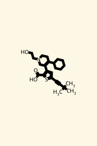 CC(C)(C)C#Cc1cc(C2=C(C3CCCCC3)CCN(CCO)C2)c(C(=O)O)s1